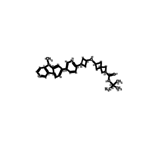 Cn1c2ccncc2c2ccc(-c3ccc(N4CC(OC5CC6(C5)CN(C(=O)OC(C)(C)C)C6)C4)nc3)cc21